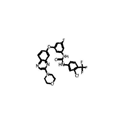 O=C(Nc1cc(F)cc(Oc2ccc3ncc(N4CCOCC4)nc3c2)c1)Nc1ccc(C(F)(F)F)c(Cl)c1